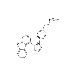 CCCCCCCCCCCCc1ccc(-n2cccc2-c2cccc3sc4ccccc4c23)cc1